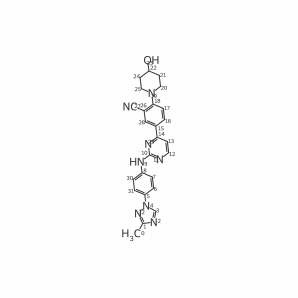 Cc1ncn(-c2ccc(Nc3nccc(-c4ccc(N5CCC(O)CC5)c(C#N)c4)n3)cc2)n1